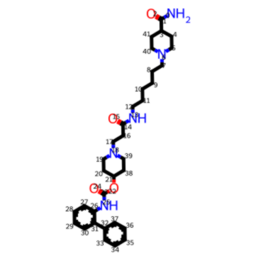 NC(=O)C1CCN(CCCCCCNC(=O)CCN2CCC(OC(=O)Nc3ccccc3-c3ccccc3)CC2)CC1